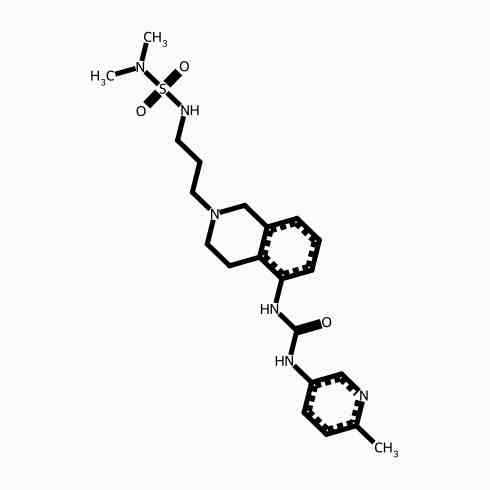 Cc1ccc(NC(=O)Nc2cccc3c2CCN(CCCNS(=O)(=O)N(C)C)C3)cn1